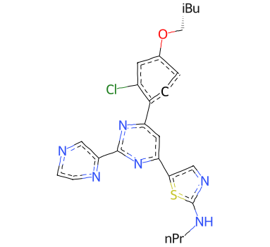 CCCNc1ncc(-c2cc(-c3ccc(OC[C@@H](C)CC)cc3Cl)nc(-c3cnccn3)n2)s1